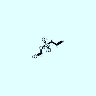 C=CCS(=O)(=O)O[C]=O